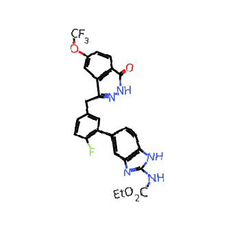 CCOC(=O)Nc1nc2cc(-c3cc(Cc4n[nH]c(=O)c5ccc(OC(F)(F)F)cc45)ccc3F)ccc2[nH]1